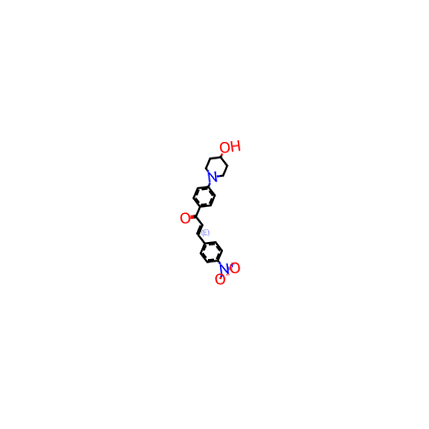 O=C(/C=C/c1ccc([N+](=O)[O-])cc1)c1ccc(N2CCC(O)CC2)cc1